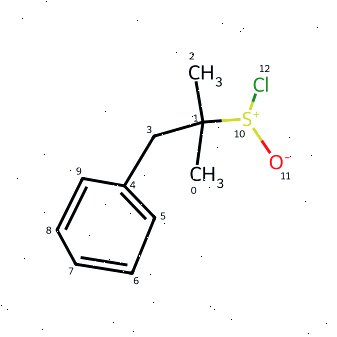 CC(C)(Cc1ccccc1)[S+]([O-])Cl